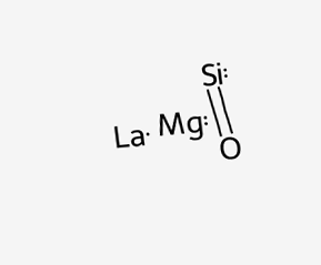 O=[Si].[La].[Mg]